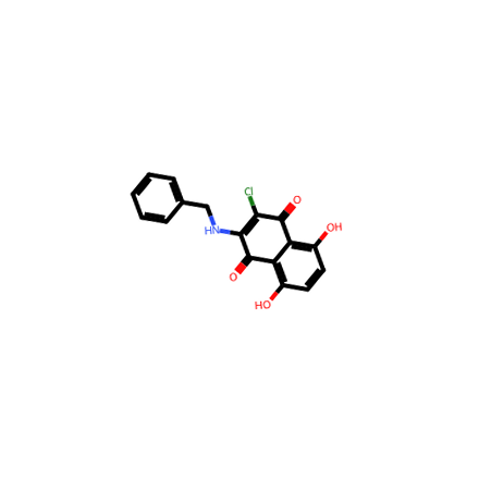 O=C1C(Cl)=C(NCc2ccccc2)C(=O)c2c(O)ccc(O)c21